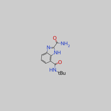 CC(C)(C)NC(=O)c1cccc2nc(C(N)=O)[nH]c12